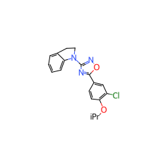 CC(C)Oc1ccc(-c2nc(N3CCc4ccccc43)no2)cc1Cl